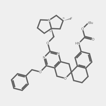 CC(C)(C)OC(=O)Nc1ccc2c(c1)C1(CCC2)Cc2nc(OC[C@@]34CCCN3C[C@H](F)C4)nc(OCc3ccccc3)c2CO1